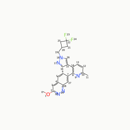 COc1cc2ccc(-c3nc(C)ccc3-c3cnn(CC4CC(F)(F)C4)c3)cc2nn1